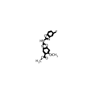 COC(=O)c1cc2nc(Nc3nc4cc(F)ccc4o3)oc2cc1OC